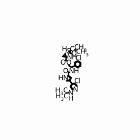 CC(C)Nc1cc(-c2c[nH]c(C(=O)NC(COC(=O)C3(NC(=O)OC(C)(C)C)CC3)c3cccc(Cl)c3)c2)c(Cl)cn1